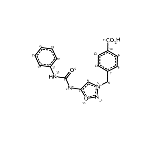 O=C([N-]c1c[n+](Cc2ccc(C(=O)O)cc2)no1)Nc1ccccc1